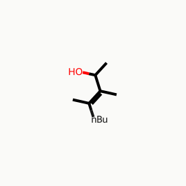 CCCC/C(C)=C(\C)C(C)O